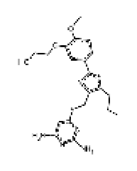 CCCc1sc(-c2ccc(OC)c(OCCO)c2)nc1CSc1cc(N)nc(N)n1